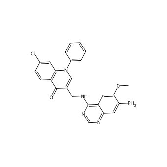 COc1cc2c(NCc3cn(-c4ccccc4)c4cc(Cl)ccc4c3=O)ncnc2cc1P